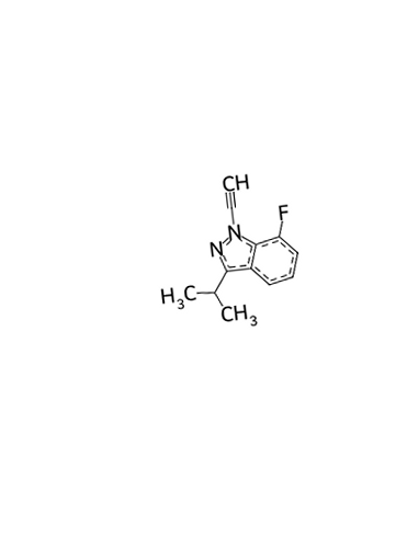 C#Cn1nc(C(C)C)c2cccc(F)c21